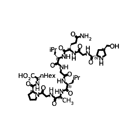 CCCCCC[C@H](NC(=O)[C@@H]1CCCN1C(=O)CNC(=O)[C@H](C)NC(=O)[C@H](CC(C)C)NC(=O)CNC(=O)[C@H](CC(C)C)NC(=O)[C@H](CCC(N)=O)NC(=O)CNC(=O)[C@@H]1C[C@@H](CO)CN1)C(=O)O